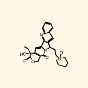 CC[C@@]1(O)C(=O)OCc2c1cc1n(c2=O)C(CC[N+]2([O-])CCCCC2)c2cc3ccccc3nc2-1